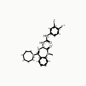 CN1C(=O)[C@H](NC(=O)Nc2ccc(F)c(F)c2)N=C(N2CCCCCC2)c2ccccc21